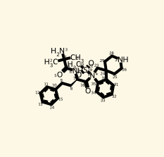 CC(C)(N)C(=O)N[C@H](CCc1ccccc1)C(=O)[N+]1(S(C)(=O)=O)CC2(CCNCC2)c2ccccc21